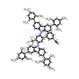 Cc1cc(C)c(-c2ccc3c(c2)c2cc(-c4c(C)cc(C)cc4C)ccc2n3-c2cc(C(F)(F)F)c(-n3c4ccc(-c5c(C)cc(C)cc5C)cc4c4cc(-c5c(C)cc(C)cc5C)ccc43)cc2-c2cccc(C#N)c2)c(C)c1